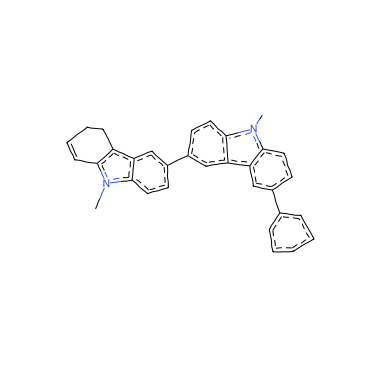 Cn1c2c(c3cc(-c4ccc5c(c4)c4cc(-c6ccccc6)ccc4n5C)ccc31)CCC=C2